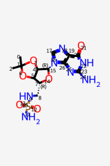 CC1(C)OC2C(O1)[C@@H](CNS(N)(=O)=O)O[C@H]2n1cnc2c(=O)[nH]c(N)nc21